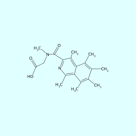 Cc1c(C)c(C)c2c(C)c(C(=O)N(C)CC(=O)O)nc(C)c2c1C